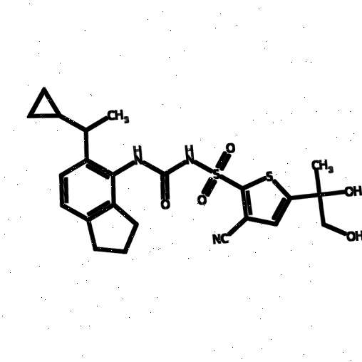 CC(c1ccc2c(c1NC(=O)NS(=O)(=O)c1sc(C(C)(O)CO)cc1C#N)CCC2)C1CC1